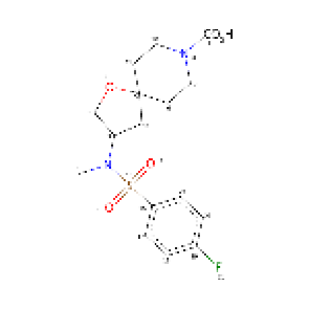 CN(C1COC2(CCN(C(=O)O)CC2)C1)S(=O)(=O)c1ccc(F)cc1